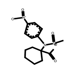 CC(=O)C1(N(c2ccc([N+](=O)[O-])cc2)S(C)(=O)=O)CCCCC1